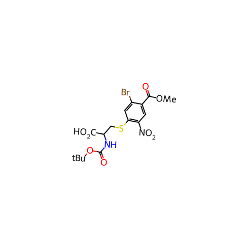 COC(=O)c1cc([N+](=O)[O-])c(SCC(NC(=O)OC(C)(C)C)C(=O)O)cc1Br